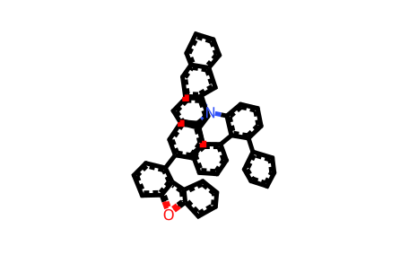 c1ccc(-c2ccccc2-c2c(-c3ccccc3)cccc2N(c2ccc(-c3cccc4oc5ccccc5c34)cc2)c2ccc3ccccc3c2)cc1